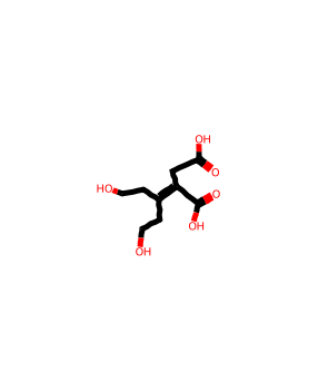 O=C(O)CC(C(=O)O)=C(CCO)CCO